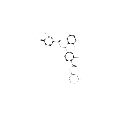 Cn1cc(C(=O)CC(c2ccc(C(=O)NC3CCOCC3)c(F)c2)c2ccccc2Cl)ccc1=O